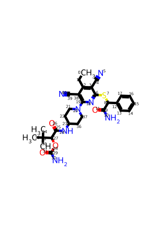 CCc1c(C#N)c(SC(C(N)=O)c2ccccc2)nc(N2CCC(NC(=O)C(OC(N)=O)C(C)(C)C)CC2)c1C#N